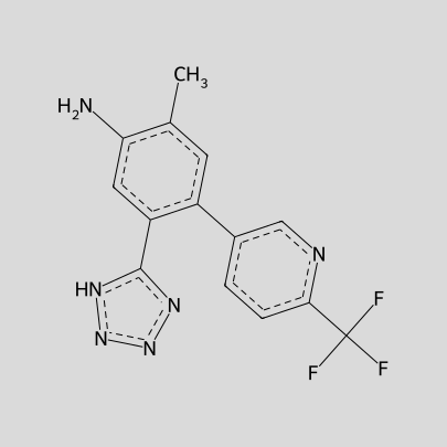 Cc1cc(-c2ccc(C(F)(F)F)nc2)c(-c2nnn[nH]2)cc1N